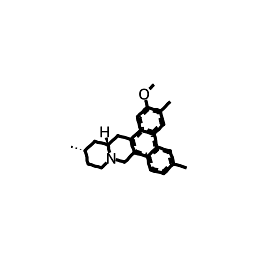 COc1cc2c3c(c4ccc(C)cc4c2cc1C)CN1CC[C@H](C)C[C@@H]1C3